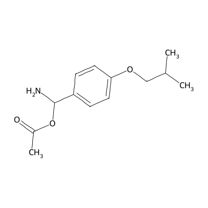 CC(=O)OC(N)c1ccc(OCC(C)C)cc1